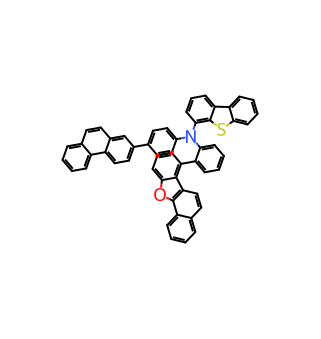 c1ccc(N(c2ccc(-c3ccc4c(ccc5ccccc54)c3)cc2)c2cccc3c2sc2ccccc23)c(-c2cccc3oc4c5ccccc5ccc4c23)c1